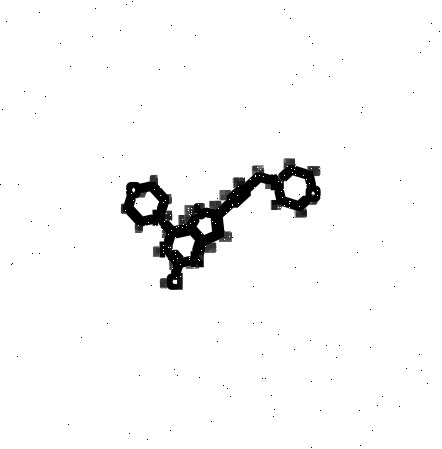 Clc1nc(N2CCOCC2)c2sc(C#CCN3CCOCC3)cc2n1